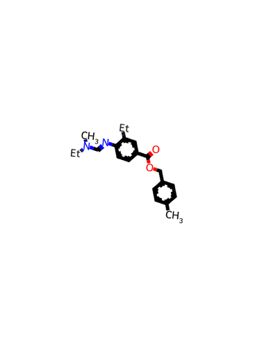 CCc1cc(C(=O)OCc2ccc(C)cc2)ccc1/N=C/N(C)CC